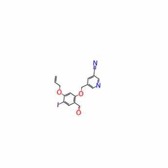 C=CCOc1cc(OCc2cncc(C#N)c2)c(C=O)cc1I